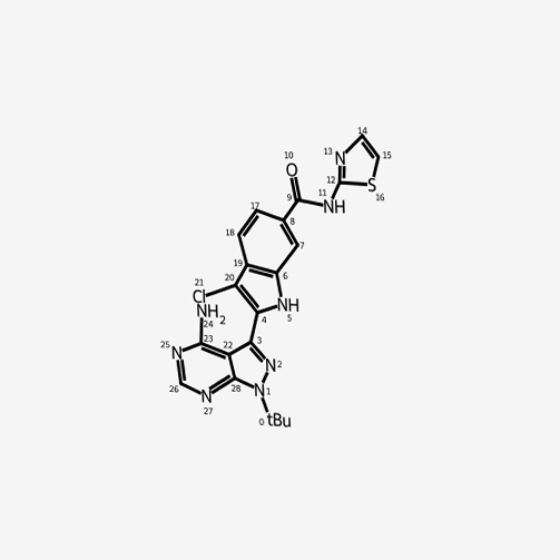 CC(C)(C)n1nc(-c2[nH]c3cc(C(=O)Nc4nccs4)ccc3c2Cl)c2c(N)ncnc21